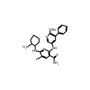 COc1ncc(Nc2nc(NC3CCCCC3N)c(F)cc2C(N)=O)cc1-c1ccccc1